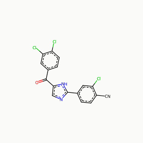 N#Cc1ccc(-c2ncc(C(=O)c3ccc(Cl)c(Cl)c3)[nH]2)cc1Cl